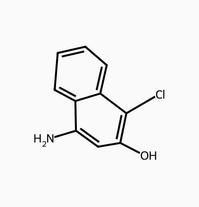 Nc1cc(O)c(Cl)c2ccccc12